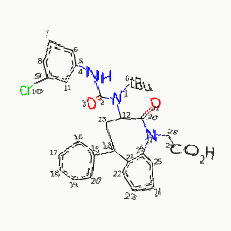 CC(C)(C)N(C(=O)Nc1cccc(Cl)c1)C1CC(c2ccccc2)c2ccccc2N(CC(=O)O)C1=O